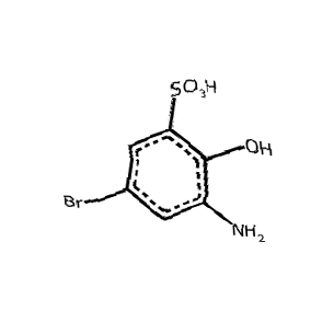 Nc1cc(Br)cc(S(=O)(=O)O)c1O